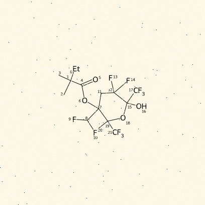 CCC(C)(C)C(=O)OC1(C(F)F)CC(F)(F)C(O)(C(F)(F)F)OC1(C)C(F)(F)F